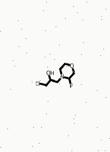 OC(CCl)CN1CCOCC1F